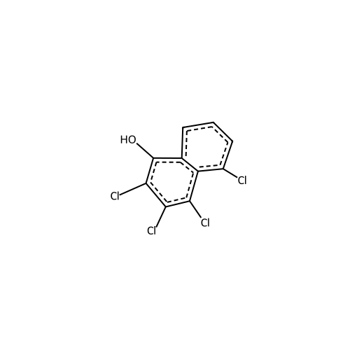 Oc1c(Cl)c(Cl)c(Cl)c2c(Cl)cccc12